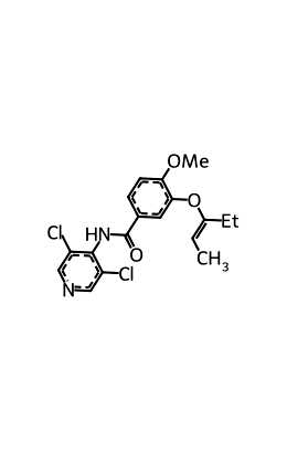 CC=C(CC)Oc1cc(C(=O)Nc2c(Cl)cncc2Cl)ccc1OC